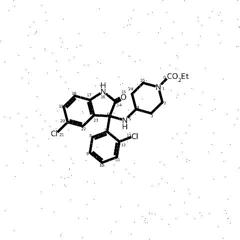 CCOC(=O)N1CCC(NC2(c3ccccc3Cl)C(=O)Nc3ccc(Cl)cc32)CC1